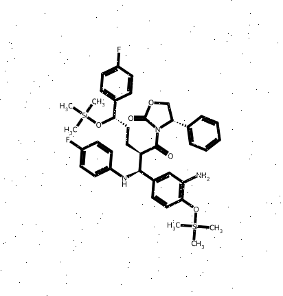 C[Si](C)(C)Oc1ccc([C@@H](Nc2ccc(F)cc2)[C@@H](CC[C@H](O[Si](C)(C)C)c2ccc(F)cc2)C(=O)N2C(=O)OC[C@@H]2c2ccccc2)cc1N